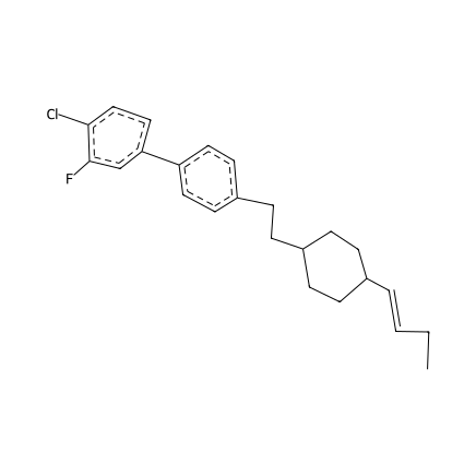 CCC=CC1CCC(CCc2ccc(-c3ccc(Cl)c(F)c3)cc2)CC1